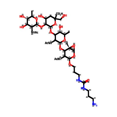 CC(=O)NC1C(O[C@@H]2OC(CO)(C(=O)O)CC(O)C2O[C@@H]2OC(C)[C@@H](O)C(O)[C@@H]2NC(C)=O)[C@H](O)C(C)O[C@H]1OC1C(NC(C)=O)[C@H](OCCCNC(=O)NCCCN)OC2O[C@@H]21